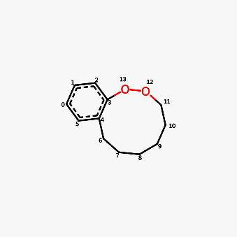 c1ccc2c(c1)CCCCCCOO2